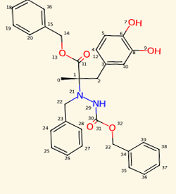 C[C@](Cc1ccc(O)c(O)c1)(C(=O)OCc1ccccc1)N(Cc1ccccc1)NC(=O)OCc1ccccc1